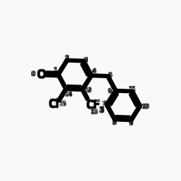 O=C1C[C]=C(Cc2ccccc2)C(C(F)(F)F)=C1Cl